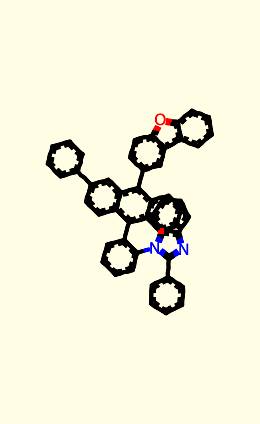 c1ccc(-c2ccc3c(-c4ccccc4-n4c(-c5ccccc5)nc5ccccc54)c4ccccc4c(-c4ccc5oc6ccccc6c5c4)c3c2)cc1